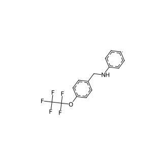 FC(F)(F)C(F)(F)Oc1ccc(CNc2cc[c]cc2)cc1